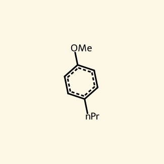 [CH2]CCc1ccc(OC)cc1